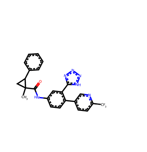 CC1(C(=O)Nc2ccc(-c3ccc(C(F)(F)F)nc3)c(-c3nnn[nH]3)c2)CC1c1ccccc1